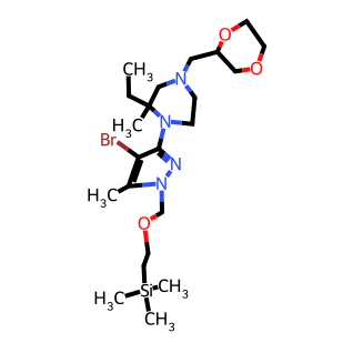 CCC1(C)CN(CC2COCCO2)CCN1c1nn(COCC[Si](C)(C)C)c(C)c1Br